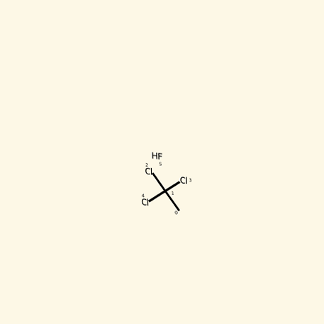 CC(Cl)(Cl)Cl.F